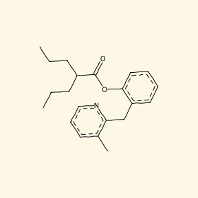 CCCC(CCC)C(=O)Oc1ccccc1Cc1ncccc1C